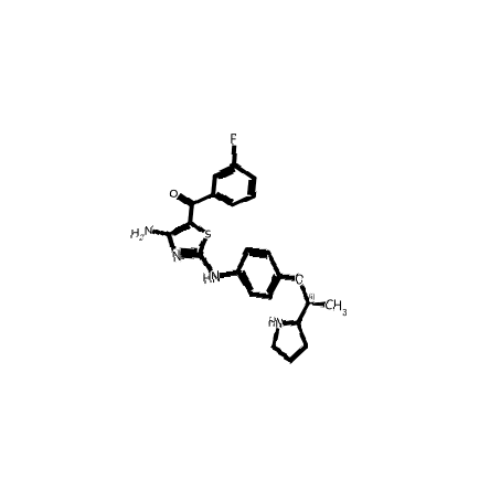 C[C@H](Oc1ccc(Nc2nc(N)c(C(=O)c3cccc(F)c3)s2)cc1)C1CCCN1